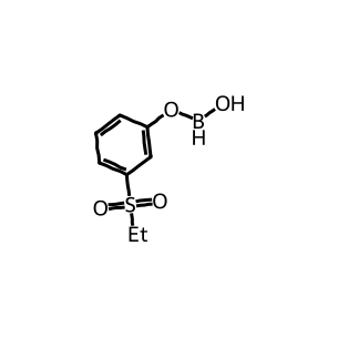 CCS(=O)(=O)c1cccc(OBO)c1